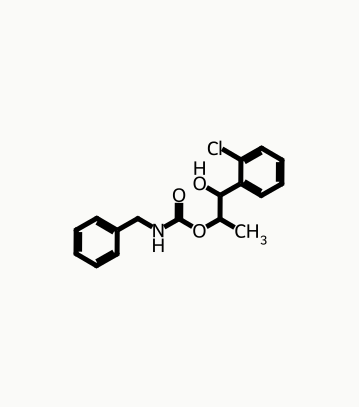 CC(OC(=O)NCc1ccccc1)C(O)c1ccccc1Cl